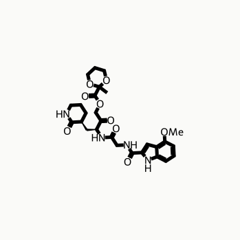 COc1cccc2[nH]c(C(=O)NCC(=O)N[C@@H](C[C@@H]3CCCNC3=O)C(=O)COC(=O)C3(C)OCCCO3)cc12